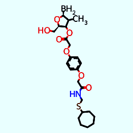 B[C@@H]1O[C@H](CO)C(OC(=O)COc2ccc(OCC(=O)NCSC3CCCCCC3)cc2)C1C